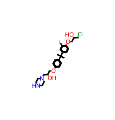 CC(C)(c1ccc(OC[C@@H](O)CN2CCNCC2)cc1)c1ccc(OC[C@@H](O)CCl)c(I)c1